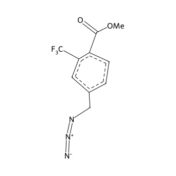 COC(=O)c1ccc(CN=[N+]=[N-])cc1C(F)(F)F